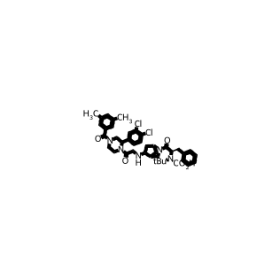 Cc1cc(C)cc(C(=O)N2CCN(C(=O)CNC3CC4CC3CN4C(=O)[C@@H](Cc3ccccc3)N(C(=O)O)C(C)(C)C)C(c3ccc(Cl)c(Cl)c3)C2)c1